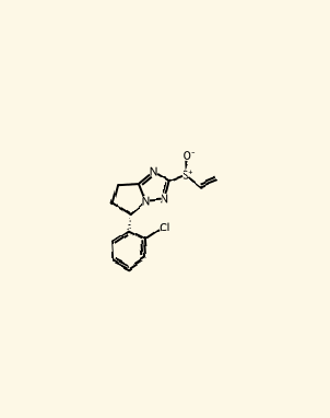 C=C[S@+]([O-])c1nc2n(n1)[C@H](c1ccccc1Cl)CC2